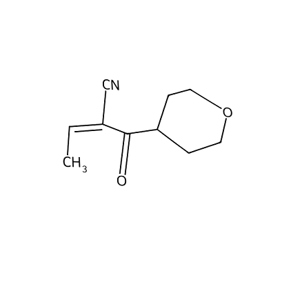 C/C=C(/C#N)C(=O)C1CCOCC1